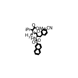 COC(=O)C(C(C)C)N(C)C(=O)C(Cc1ccc(C#N)cc1)NS(=O)(=O)c1ccc2ccccc2c1